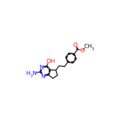 COC(=O)c1ccc(CCC2CCc3nc(N)nc(O)c32)cc1